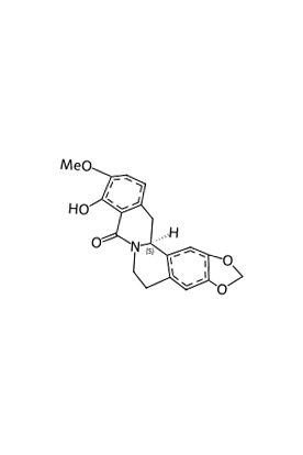 COc1ccc2c(c1O)C(=O)N1CCc3cc4c(cc3[C@@H]1C2)OCO4